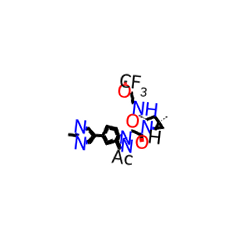 CC(=O)c1nn(CC(=O)N2[C@H](C(=O)NCCOC(F)(F)F)C[C@@]3(C)C[C@@H]23)c2ccc(-c3cnc(C)nc3)cc12